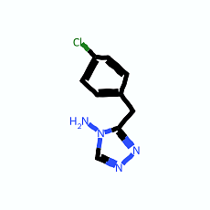 Nn1cnnc1Cc1ccc(Cl)cc1